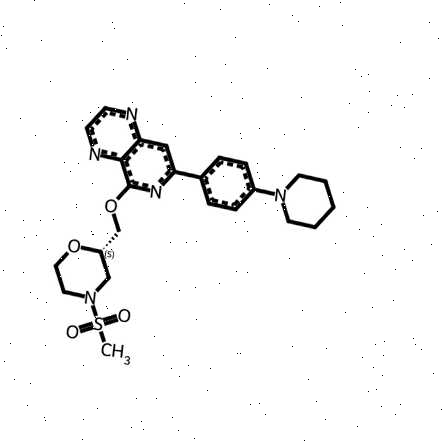 CS(=O)(=O)N1CCO[C@H](COc2nc(-c3ccc(N4CCCCC4)cc3)cc3nccnc23)C1